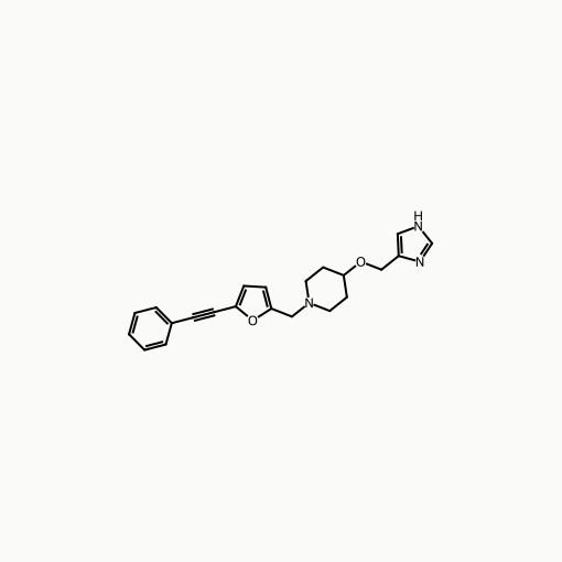 C(#Cc1ccc(CN2CCC(OCc3c[nH]cn3)CC2)o1)c1ccccc1